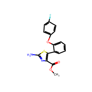 COC(=O)c1nc(N)sc1-c1ccccc1Oc1ccc(F)cc1